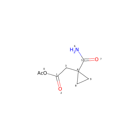 CC(=O)OC(=O)CC1(C(N)=O)CC1